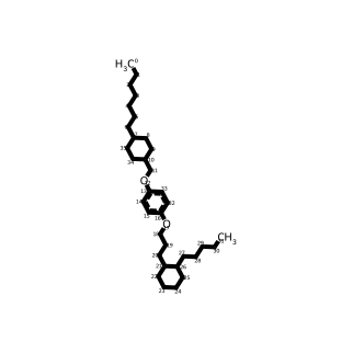 CCCCCCCC1CCC(COc2ccc(OCCCC3CCCCC3CCCCC)cc2)CC1